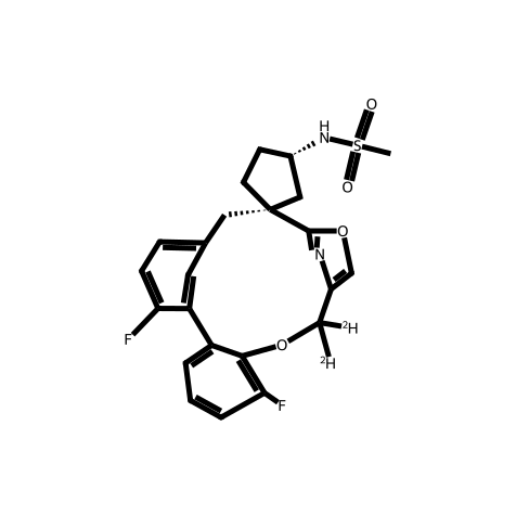 [2H]C1([2H])Oc2c(F)cccc2-c2cc(ccc2F)C[C@@]2(CC[C@H](NS(C)(=O)=O)C2)c2nc1co2